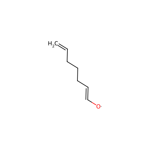 C=CCCC/C=C/[O]